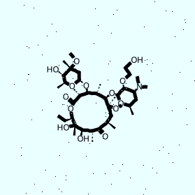 CC[C@H]1OC(=O)[C@H](C)[C@@H](O[C@H]2C[C@@](C)(OC)[C@@H](O)[C@H](C)O2)[C@H](C)[C@@H](O[C@@H]2O[C@H](C)C[C@H](N(C)C)[C@H]2OCCO)[C@@](C)(OC)C[C@@H](C)C(=O)[C@H](C)[C@@H](O)[C@]1(C)O